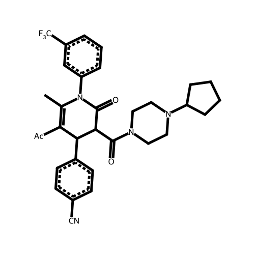 CC(=O)C1=C(C)N(c2cccc(C(F)(F)F)c2)C(=O)C(C(=O)N2CCN(C3CCCC3)CC2)C1c1ccc(C#N)cc1